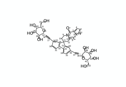 Cn1nccc1C(=O)N1CCC2(CC1)c1cc(C#C[C@H]3O[C@H](CO)[C@@H](O)[C@H](O)[C@@H]3O)ccc1-c1ccc(C#C[C@H]3O[C@H](CO)[C@@H](O)[C@H](O)[C@@H]3O)cc12